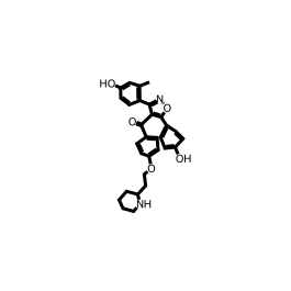 Cc1cc(O)ccc1-c1noc(-c2ccc(O)cc2)c1C(=O)c1ccc(OCCC2CCCCN2)cc1